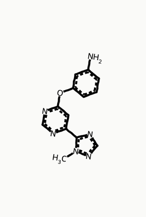 Cn1ncnc1-c1cc(Oc2cccc(N)c2)ncn1